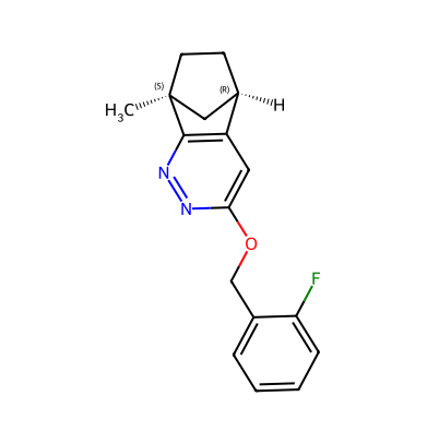 C[C@]12CC[C@H](C1)c1cc(OCc3ccccc3F)nnc12